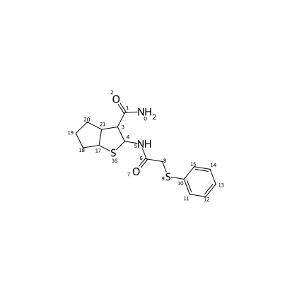 NC(=O)C1C(NC(=O)CSc2ccccc2)SC2CCCC21